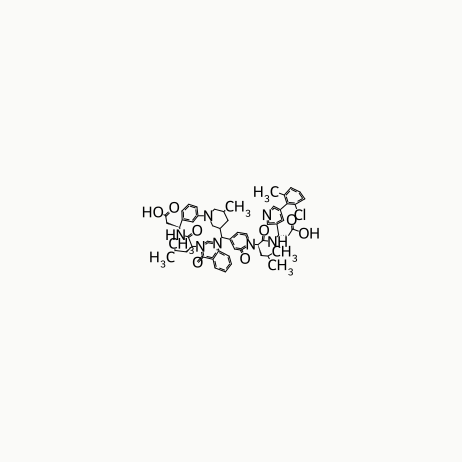 Cc1cccc(Cl)c1-c1cncc([C@H](CC(=O)O)NC(=O)[C@@H](CC(C)C)n2ccc(CC3C[C@H](C)CN(c4cccc([C@H](CC(=O)O)NC(=O)[C@H](CC(C)C)n5cnc6ccccc6c5=O)c4)C3)cc2=O)c1